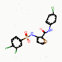 O=C(Nc1ccc(Cl)cc1)c1sccc1NS(=O)(=O)c1ccc(F)c(F)c1